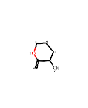 C=C1OCCCC1C#N